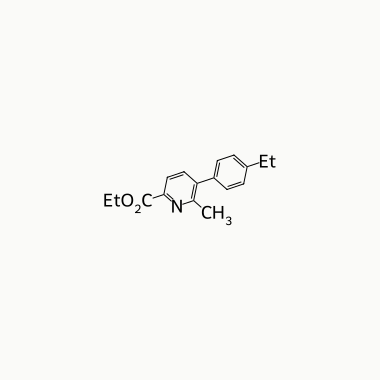 CCOC(=O)c1ccc(-c2ccc(CC)cc2)c(C)n1